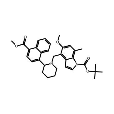 COC(=O)c1ccc(C2CCCCN2Cc2c(OC)cc(C)c3c2ccn3C(=O)OC(C)(C)C)c2ccccc12